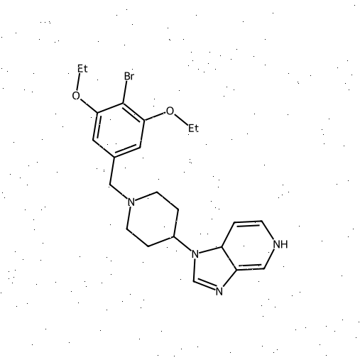 CCOc1cc(CN2CCC(N3C=NC4=CNC=CC43)CC2)cc(OCC)c1Br